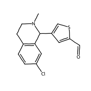 CN1CCc2ccc(Cl)cc2C1c1csc(C=O)c1